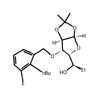 CCCCc1c(F)cccc1CO[C@@H]1[C@H]2OC(C)(C)O[C@H]2O[C@@H]1[C@H](O)CC